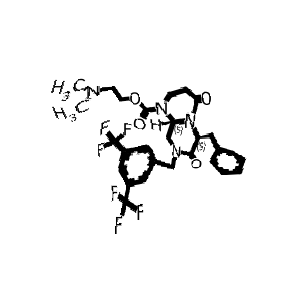 CN(C)CCOC(=O)N1CCC(=O)N2[C@@H]1CN(Cc1cc(C(F)(F)F)cc(C(F)(F)F)c1)C(=O)[C@@H]2Cc1ccccc1